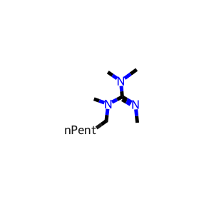 CCCCCCN(C)/C(=N\C)N(C)C